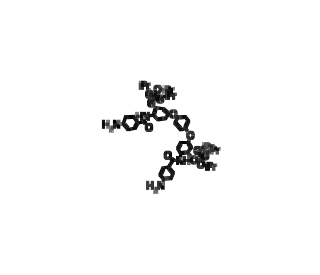 CC(C)O[Si](Oc1cc(Oc2ccc(Oc3ccc(NC(=O)c4ccc(N)cc4)c(O[Si](OC(C)C)(OC(C)C)OC(C)C)c3)cc2)ccc1NC(=O)c1ccc(N)cc1)(OC(C)C)OC(C)C